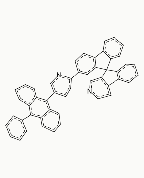 c1ccc(-c2c3ccccc3c(-c3ccc(-c4ccc5c(c4)C4(c6ccccc6-c6ccncc64)c4ccccc4-5)nc3)c3ccccc23)cc1